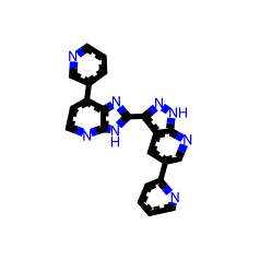 c1ccc(-c2cnc3[nH]nc(-c4nc5c(-c6cccnc6)ccnc5[nH]4)c3c2)nc1